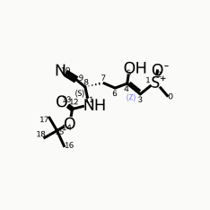 C[S+]([O-])/C=C(\O)CC[C@@H](C#N)NC(=O)OC(C)(C)C